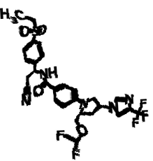 CCS(=O)(=O)c1ccc([C@H](CC#N)NC(=O)c2ccc(N3C[C@@H](n4cnc(C(F)(F)F)c4)C[C@H]3COC(F)F)cc2)cc1